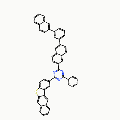 c1ccc(-c2nc(-c3ccc4cc(-c5cccc(-c6ccc7ccccc7c6)c5)ccc4c3)nc(-c3ccc4sc5cc6ccccc6cc5c4c3)n2)cc1